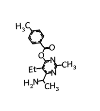 CCc1c(OC(=O)c2ccc(C)cc2)nc(C)nc1C(C)N